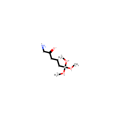 CO[Si](CCCC(=O)CN)(OC)OC